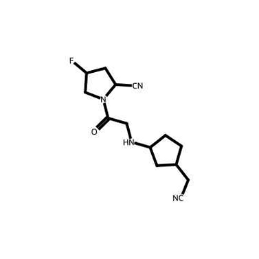 N#CCC1CCC(NCC(=O)N2CC(F)CC2C#N)C1